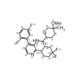 COC1(C)CCC(C(=O)Nc2c(-c3cc(F)ccc3F)ccnc2C2CCC(F)(F)CC2)OC1